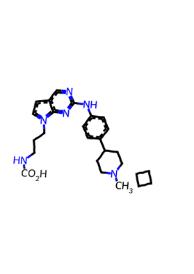 C1CCC1.CN1CCC(c2ccc(Nc3ncc4ccn(CCCNC(=O)O)c4n3)cc2)CC1